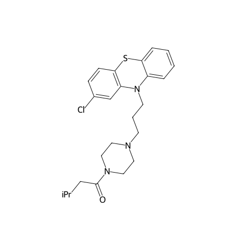 CC(C)CC(=O)N1CCN(CCCN2c3ccccc3Sc3ccc(Cl)cc32)CC1